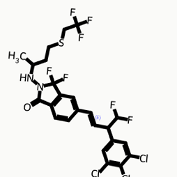 CC(CCSCC(F)(F)F)NN1C(=O)c2ccc(/C=C/C(c3cc(Cl)c(Cl)c(Cl)c3)C(F)F)cc2C1(F)F